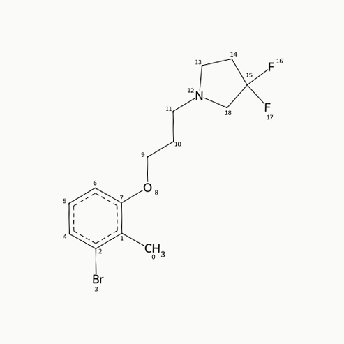 Cc1c(Br)cccc1OCCCN1CCC(F)(F)C1